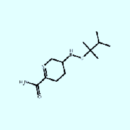 CC(C)C(C)(C)OBC1CCC(C(N)=O)=NC1